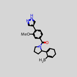 BC1=CCCC=C1C1CCCN1C(=O)c1ccc(-c2cn[nH]c2)c(OC)c1